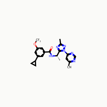 Cc1nc([C@H](C)NC(=O)c2cc(OC(F)(F)F)cc(C3CC3)c2)n(-c2cc(C#N)ncn2)n1